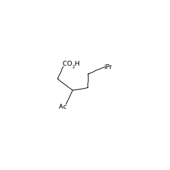 CC(=O)C(CCC(C)C)CC(=O)O